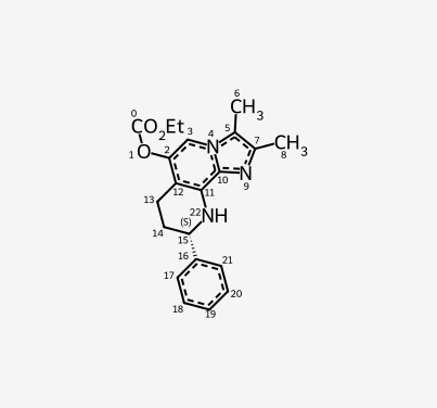 CCOC(=O)Oc1cn2c(C)c(C)nc2c2c1CC[C@@H](c1ccccc1)N2